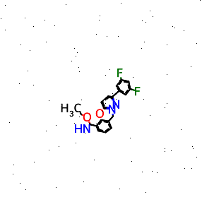 CCOC(=N)c1cccc(Cn2nc(-c3cc(F)cc(F)c3)ccc2=O)c1